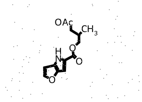 CC(=O)OCC(C)COC(=O)c1cc2occc2[nH]1